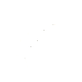 FC(F)C(F)(F)C(F)(F)C(F)(F)COI